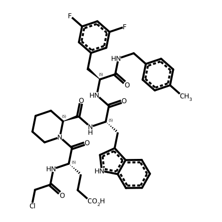 Cc1ccc(CNC(=O)[C@H](Cc2cc(F)cc(F)c2)NC(=O)[C@H](Cc2c[nH]c3ccccc23)NC(=O)[C@@H]2CCCCN2C(=O)[C@H](CCC(=O)O)NC(=O)CCl)cc1